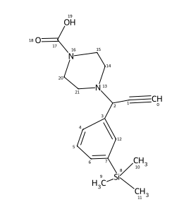 C#CC(c1cccc([Si](C)(C)C)c1)N1CCN(C(=O)O)CC1